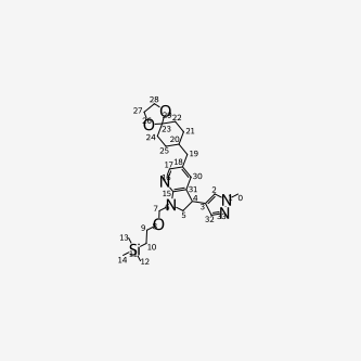 Cn1cc(C2CN(COCC[Si](C)(C)C)c3ncc(CC4CCC5(CC4)OCCO5)cc32)cn1